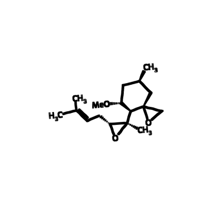 CO[C@@H]1C[C@@H](C)C[C@]2(CO2)[C@H]1[C@@]1(C)O[C@@H]1CC=C(C)C